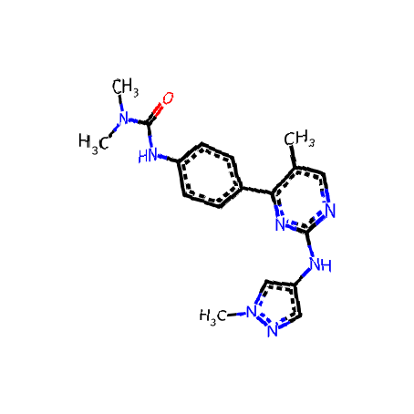 Cc1cnc(Nc2cnn(C)c2)nc1-c1ccc(NC(=O)N(C)C)cc1